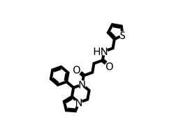 O=C(CCC(=O)N1CCn2cccc2C1c1ccccc1)NCc1cccs1